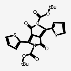 CC(C)(C)OC(=O)N1C(=O)C2=C(c3cccs3)N(C(=O)OC(C)(C)C)C(=O)C2=C1c1cccs1